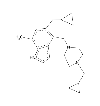 Cc1cc(CC2CC2)c(CN2CCN(CC3CC3)CC2)c2cc[nH]c12